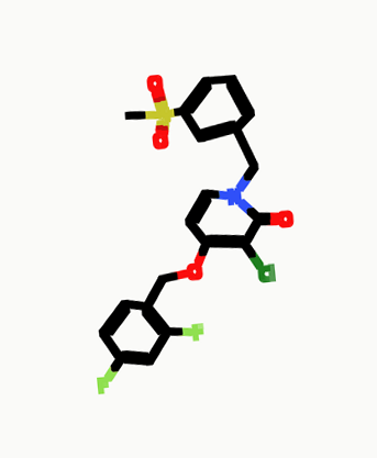 CS(=O)(=O)c1cccc(Cn2ccc(OCc3ccc(F)cc3F)c(Cl)c2=O)c1